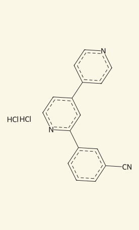 Cl.Cl.N#Cc1cccc(-c2cc(-c3ccncc3)ccn2)c1